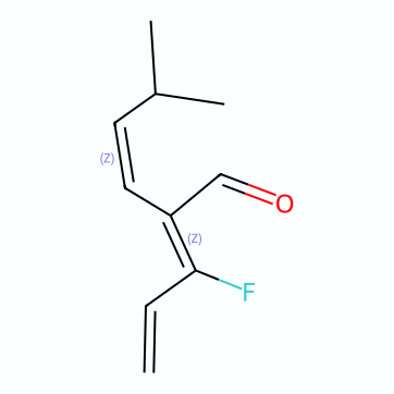 C=C/C(F)=C(C=O)\C=C/C(C)C